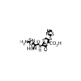 Nc1nc(C(=NO)C(=O)N[C@@H]2C(=O)N3C(C(=O)O)=C(Sc4nncs4)CSC23)ns1